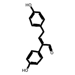 O=CC(=CCc1ccc(O)cc1)c1ccc(O)cc1